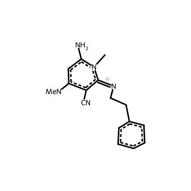 CNc1cc(N)n(C)/c(=N/CCc2ccccc2)c1C#N